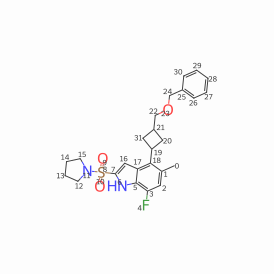 Cc1cc(F)c2[nH]c(S(=O)(=O)N3CCCC3)cc2c1C1CC(COCc2ccccc2)C1